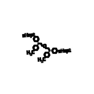 CCCCCCC[C@H]1CC[C@H](C(CCOCCC([C@H]2CC[C@H](C)CC2)[C@H]2CC[C@H](CCCCCCC)CC2)[C@H]2CC[C@H](C)CC2)CC1